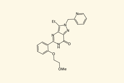 CCc1c2nc(-c3ccccc3OCCOC)[nH]c(=O)c2nn1Cc1ccccn1